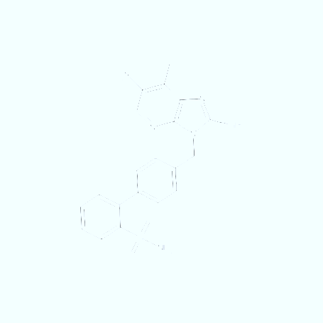 CCCc1nc2c(C)c(N)cnc2n1Cc1ccc(-c2ccccc2S(N)(=O)=O)cc1